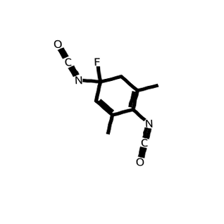 CC1=CC(F)(N=C=O)CC(C)=C1N=C=O